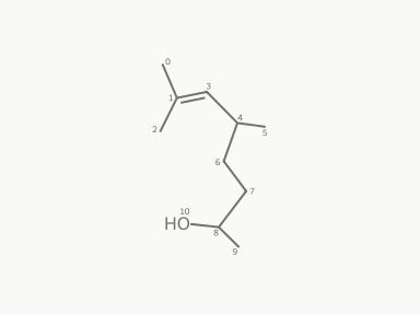 CC(C)=CC(C)CCC(C)O